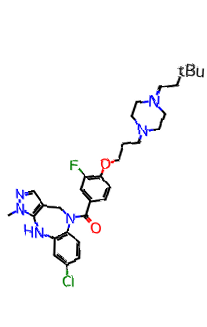 Cn1ncc2c1Nc1cc(Cl)ccc1N(C(=O)c1ccc(OCCCN3CCN(CCC(C)(C)C)CC3)c(F)c1)C2